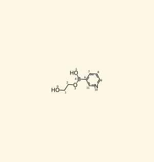 OCCOB(O)c1cccnc1